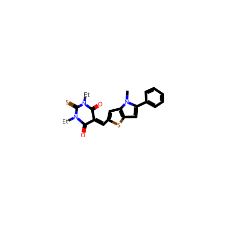 CCN1C(=O)C(=Cc2cc3c(cc(-c4ccccc4)n3C)s2)C(=O)N(CC)C1=S